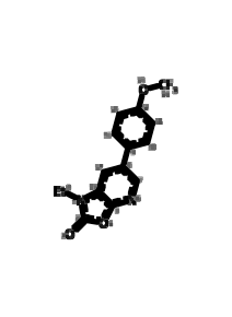 CCn1c(=O)oc2ncc(-c3ccc(OC(F)(F)F)cc3)cc21